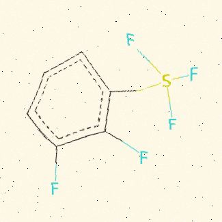 Fc1cccc(S(F)(F)F)c1F